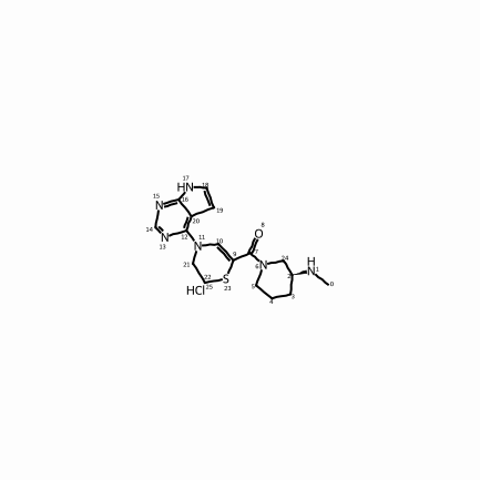 CN[C@H]1CCCN(C(=O)C2=CN(c3ncnc4[nH]ccc34)CCS2)C1.Cl